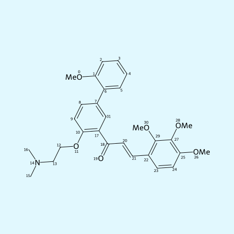 COc1ccccc1-c1ccc(OCCN(C)C)c(C(=O)/C=C/c2ccc(OC)c(OC)c2OC)c1